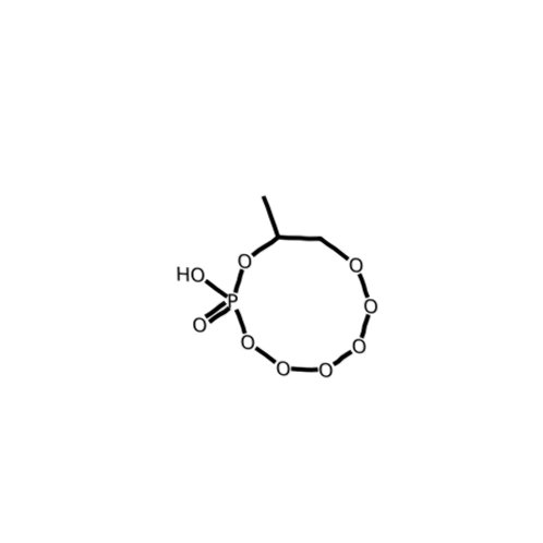 CC1COOOOOOP(=O)(O)O1